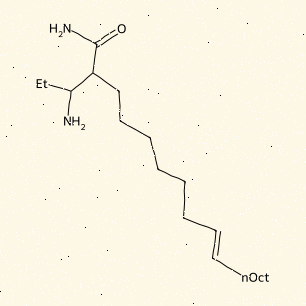 CCCCCCCCC=CCCCCCCC(C(N)=O)C(N)CC